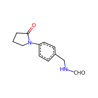 O=CNCc1ccc(N2CCCC2=O)cc1